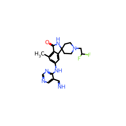 Cc1cc(Nc2ncncc2C=N)cc2c1C(=O)NC21CCN(CC(F)F)CC1